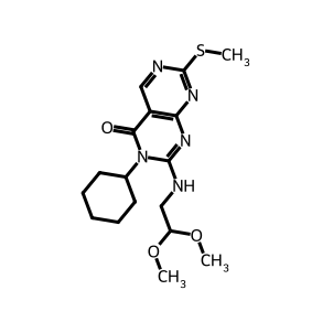 COC(CNc1nc2nc(SC)ncc2c(=O)n1C1CCCCC1)OC